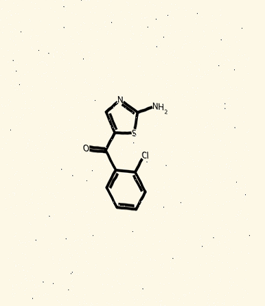 Nc1ncc(C(=O)c2ccccc2Cl)s1